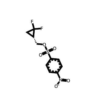 O=[N+]([O-])c1ccc(S(=O)(=O)OC[C@@H]2CC2(F)F)cc1